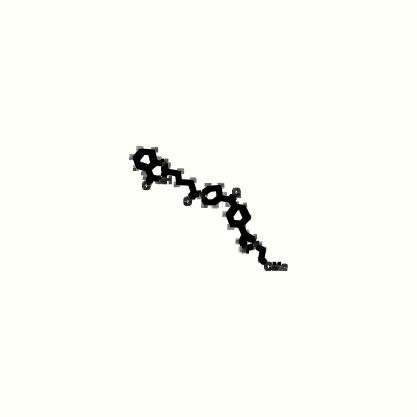 COCCn1cc(-c2ccc(C(=O)C3CCN(C(=O)CCCc4nc5ccccc5c(=O)[nH]4)CC3)cc2)cn1